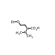 CCOCCN(C(=O)O)N(C)C